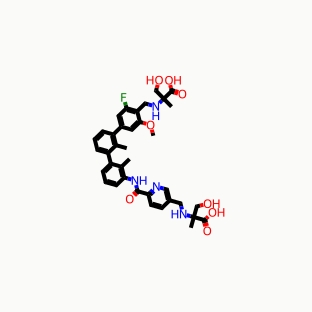 COc1cc(-c2cccc(-c3cccc(NC(=O)c4ccc(CNC(C)(CO)C(=O)O)cn4)c3C)c2C)cc(F)c1CNC(C)(CO)C(=O)O